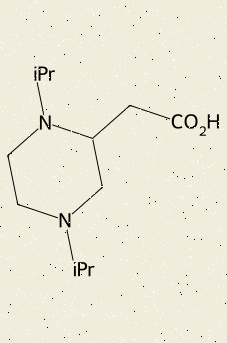 CC(C)N1CCN(C(C)C)C(CC(=O)O)C1